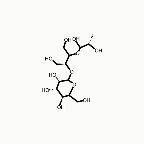 C[C@H](O)C(O)OC(CO)[C@H](CO)OC1OC(CO)[C@@H](O)[C@H](O)[C@@H]1O